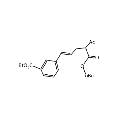 CCCCOC(=O)C(CC=Cc1cccc(C(=O)OCC)c1)C(C)=O